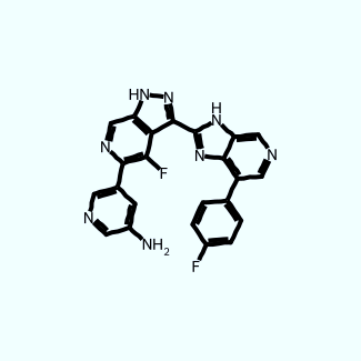 Nc1cncc(-c2ncc3[nH]nc(-c4nc5c(-c6ccc(F)cc6)cncc5[nH]4)c3c2F)c1